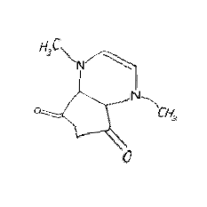 CN1C=CN(C)C2C(=O)CC(=O)C21